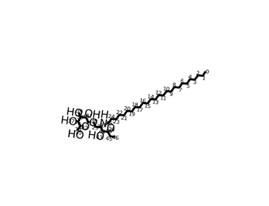 CCCCCCCCCCCCCCCCCCCCCCCCCC(=O)NC(COC1OC(CO)C(O)C(O)C1O)C(O)CCC